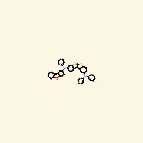 c1ccc(N(c2ccc3c(c2)sc2sc4ccc(N(c5ccccc5)c5ccccc5)cc4c23)c2ccc3oc4ccccc4c3c2)cc1